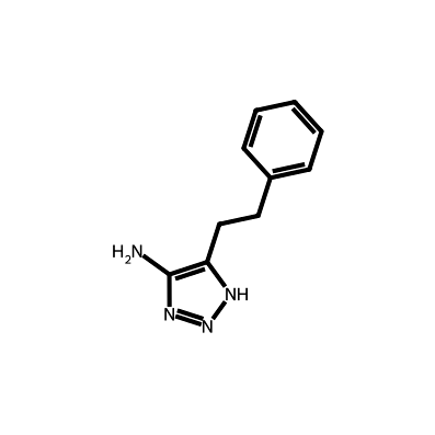 Nc1nn[nH]c1CCc1ccccc1